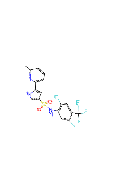 Cc1cccc(-c2cc(S(=O)(=O)Nc3cc(F)c(C(F)(F)F)cc3F)c[nH]2)n1